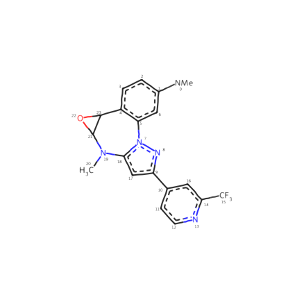 CNc1ccc2c(c1)-n1nc(-c3ccnc(C(F)(F)F)c3)cc1N(C)C1OC21